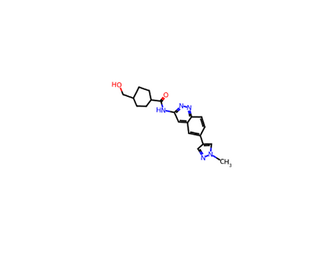 Cn1cc(-c2ccc3nnc(NC(=O)C4CCC(CO)CC4)cc3c2)cn1